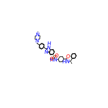 C[C@@H](NC(=O)C1CCC(NS(=O)(=O)c2ccc3[nH]c(-c4ccc(CN5CCN(C)CC5)cc4)nc3c2)CC1)c1ccccc1